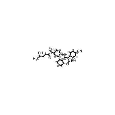 CN(C)CCC(=O)N(C)c1ccc(NC(=C2C(=O)Nc3cc(C#N)ccc32)c2ccccc2)cc1